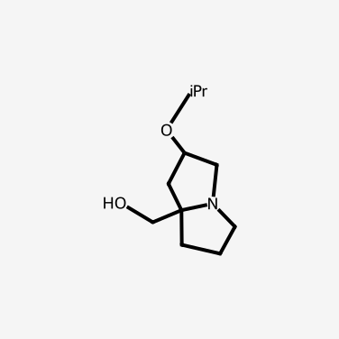 CC(C)OC1CN2CCCC2(CO)C1